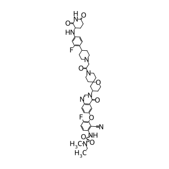 CCN(C)S(=O)(=O)Nc1ccc(F)c(Oc2ccc3ncn(C4CCOC5(CCN(C(=O)CN6CCC(c7ccc(NC8CCC(=O)NC8=O)cc7F)CC6)CC5)C4)c(=O)c3c2)c1C#N